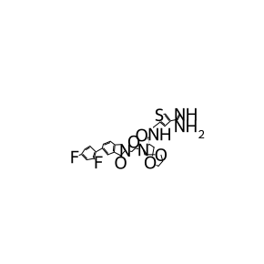 N=C(N)c1csc(CNC(=O)[C@@H]2CC3(CN2C(=O)CN2Cc4ccc(-c5ccc(F)cc5F)cc4C2=O)OCCO3)c1